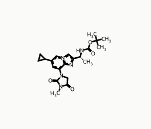 C[C@@H](NC(=O)OC(C)(C)C)c1cn2cc(C3CC3)cc(N3CC(=O)N(C)C3=O)c2n1